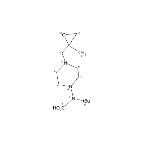 CC1(CN2CCN(N(C(=O)O)C(C)(C)C)CC2)CO1